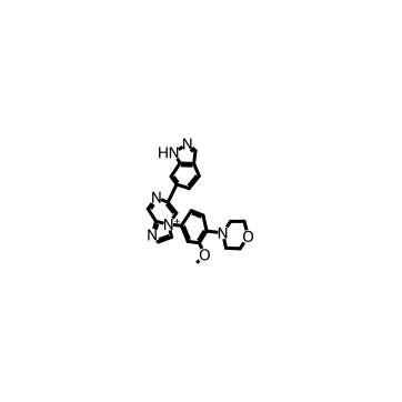 COc1cc([N+]23C=CN=C2C=NC(c2ccc4cn[nH]c4c2)=C3)ccc1N1CCOCC1